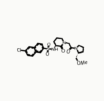 COC[C@H]1CCCN1C(=O)CN1CCC[C@H](NS(=O)(=O)c2ccc3cc(Cl)ccc3c2)C1=O